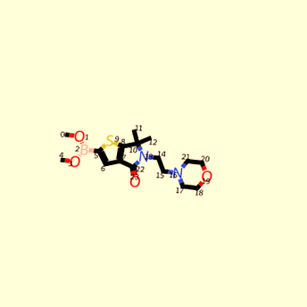 COB(OC)c1cc2c(s1)C(C)(C)N(CCN1CCOCC1)C2=O